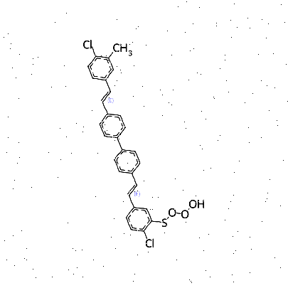 Cc1cc(/C=C/c2ccc(-c3ccc(/C=C/c4ccc(Cl)c(SOOO)c4)cc3)cc2)ccc1Cl